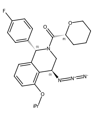 CC(C)Oc1cccc2c1[C@H](N=[N+]=[N-])CN(C(=O)[C@H]1CCCCO1)[C@H]2c1ccc(F)cc1